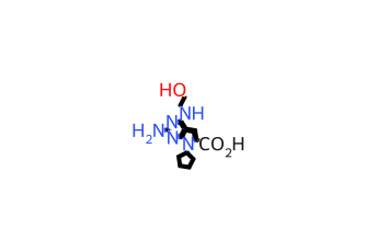 Nc1nc(NCCO)c2cc(C(=O)O)n(C3CCCC3)c2n1